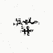 C=CC(=O)NC[N+](C)(C)C.O=S(=O)([O-])C(F)(F)F